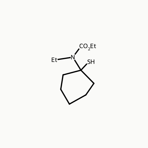 CCOC(=O)N(CC)C1(S)CCCCC1